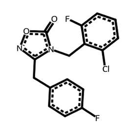 O=c1onc(Cc2ccc(F)cc2)n1Cc1c(F)cccc1Cl